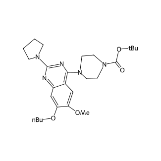 CCCCOc1cc2nc(N3CCCC3)nc(N3CCN(C(=O)OC(C)(C)C)CC3)c2cc1OC